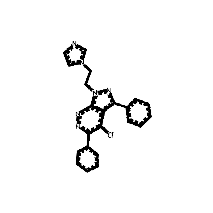 Clc1c(-c2ccccc2)nnc2c1c(-c1ccccc1)nn2CCn1ccnc1